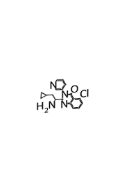 NC(CC1CC1)c1nc2cccc(Cl)c2c(=O)n1-c1cccnc1